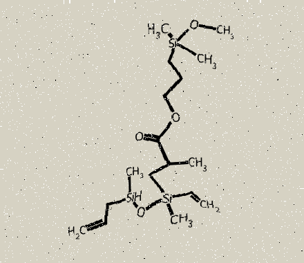 C=CC[SiH](C)O[Si](C)(C=C)CC(C)C(=O)OCCC[Si](C)(C)OC